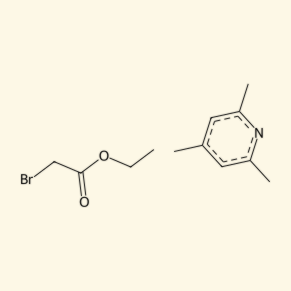 CCOC(=O)CBr.Cc1cc(C)nc(C)c1